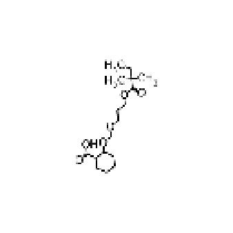 CCC(C)(C)C(=O)OCCCOCOC1CCCCC1C(=O)O